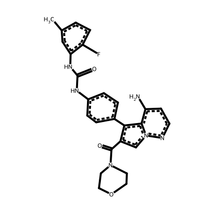 Cc1ccc(F)c(NC(=O)Nc2ccc(-c3c(C(=O)N4CCOCC4)cn4nccc(N)c34)cc2)c1